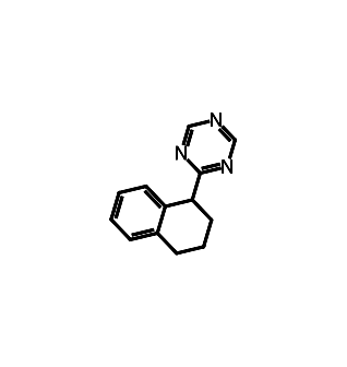 c1ccc2c(c1)CCCC2c1ncncn1